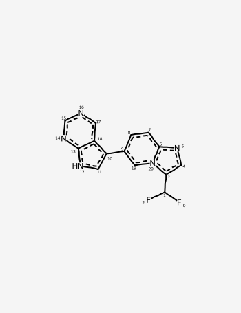 FC(F)c1cnc2ccc(-c3c[nH]c4ncncc34)cn12